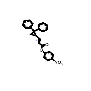 O=C(/C=C/C1CC1(c1ccccc1)c1ccccc1)Oc1ccc([N+](=O)[O-])cc1